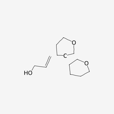 C1CCOCC1.C1CCOCC1.C=CCO